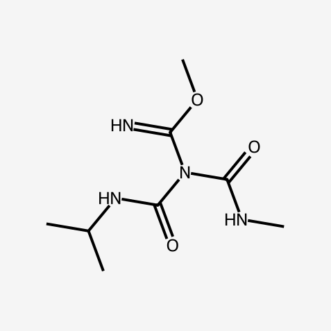 CNC(=O)N(C(=N)OC)C(=O)NC(C)C